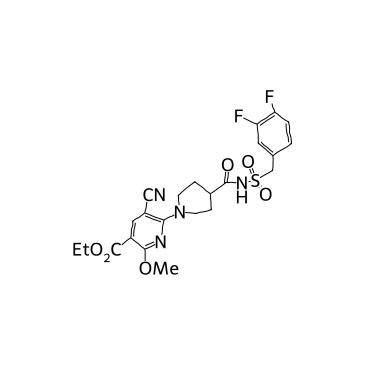 CCOC(=O)c1cc(C#N)c(N2CCC(C(=O)NS(=O)(=O)Cc3ccc(F)c(F)c3)CC2)nc1OC